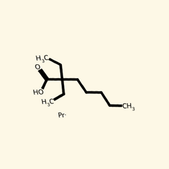 CCCCCC(CC)(CC)C(=O)O.[Pr]